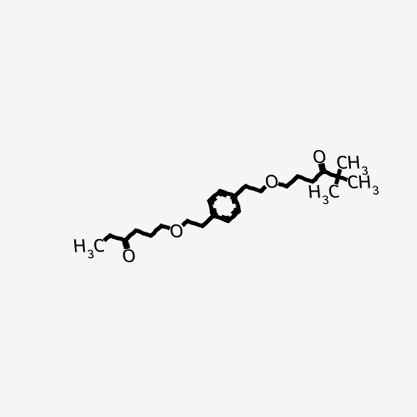 CCC(=O)CCCOCCc1ccc(CCOCCCC(=O)C(C)(C)C)cc1